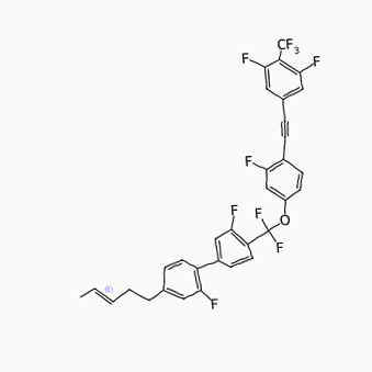 C/C=C/CCc1ccc(-c2ccc(C(F)(F)Oc3ccc(C#Cc4cc(F)c(C(F)(F)F)c(F)c4)c(F)c3)c(F)c2)c(F)c1